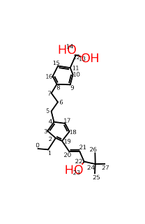 CCc1cc(CCCc2ccc(C(O)O)cc2)ccc1C=CC(O)C(C)(C)C